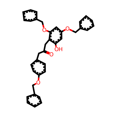 O=C(Cc1ccc(OCc2ccccc2)cc1)Cc1c(O)cc(OCc2ccccc2)cc1OCc1ccccc1